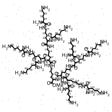 COC(=O)C(CCCCNC(=O)C(CCCCNC(=O)C(CCCCNC(=O)C(N)CCCCN)NC(=O)C(N)CCCCN)NC(=O)C(CCCCNC(=O)C(N)CCCCN)NC(=O)C(N)CCCCN)NC(=O)C(CCCCNC(=O)C(CCCCNC(=O)C(N)CCCCN)NC(=O)C(N)CCCCN)NC(=O)C(CCCCCNC(=O)C(N)CCCCN)NC(=O)C(N)CCCCN